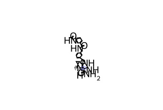 CC(=O)Nc1cccc(C(=O)NCc2cccc(-c3c[nH]c(/C(N[C@H](C)C4CC4)=C(\C=N)C(N)=O)c3)c2)c1